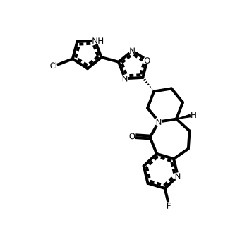 O=C1c2ccc(F)nc2CC[C@H]2CC[C@@H](c3nc(-c4cc(Cl)c[nH]4)no3)CN12